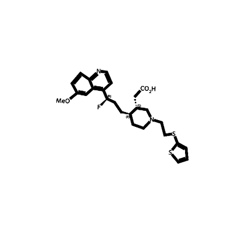 COc1ccc2nccc([C@H](F)CC[C@@H]3CCN(CCSc4cccs4)C[C@H]3CC(=O)O)c2c1